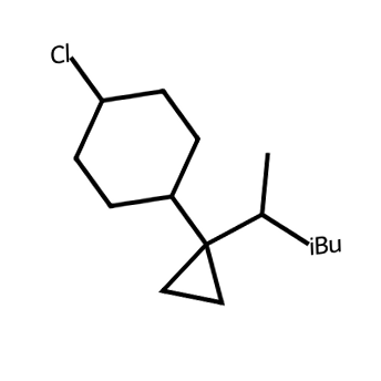 CCC(C)C(C)C1(C2CCC(Cl)CC2)CC1